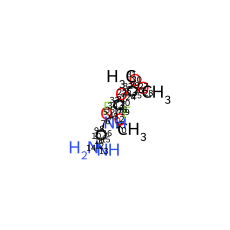 CCOC(C(=O)NCc1ccc(C(=N)N)cc1)c1c(F)cc(Oc2ccc(OC)c(OC)c2)cc1F